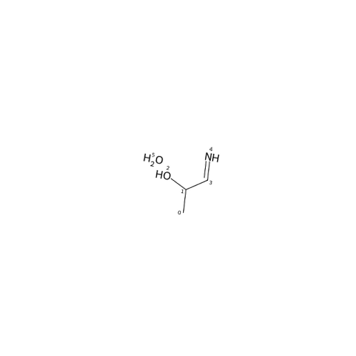 CC(O)C=N.O